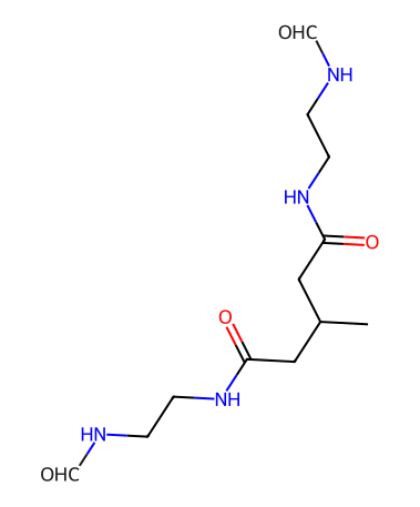 CC(CC(=O)NCCNC=O)CC(=O)NCCNC=O